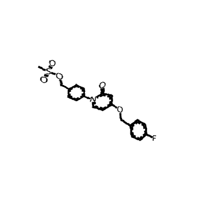 CS(=O)(=O)OCc1ccc(-n2ccc(OCc3ccc(F)cc3)cc2=O)cc1